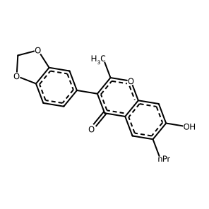 CCCc1cc2c(=O)c(-c3ccc4c(c3)OCO4)c(C)oc2cc1O